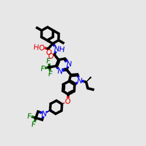 CC[C@H](C)n1cc(-c2ncc(C(=O)NC3(C(=O)O)C(C)CC4CC(C)CC3C4)c(C(F)(F)F)n2)c2ccc(O[C@H]3CC[C@H](N4CC(F)(F)C4)CC3)cc21